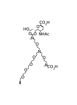 C#CCOCCOCCOCCOCCN(CCOCCN(C)C(=O)O)CCOCCN(C)C(=O)O[C@H](CCO)[C@@H]1OC(C(=O)O)=CC[C@H]1NC(C)=O